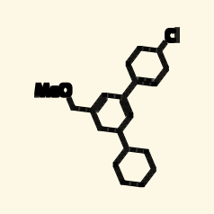 COCC1=CC(C2=CCC(Cl)CC2)=CC(C2CCCCC2)C1